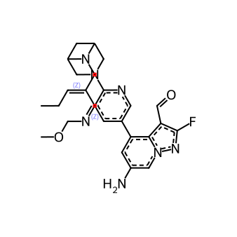 CC/C=C(\C=N/COC)CN1C2CC1CN(c1ccc(-c3cc(N)cn4nc(F)c(C=O)c34)cn1)C2